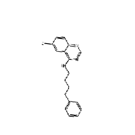 Clc1ccc2ncnc(NCCCCc3ccccc3)c2c1